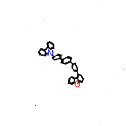 c1ccc2c(c1)oc1cccc(-c3ccc(-c4ccc(-c5ccc(-n6c7ccccc7c7ccccc76)cc5)cc4)cc3)c12